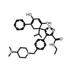 CCNC(=O)c1noc(C2(C(C)C)CC(c3ccccc3)=C(O)C=C2O)c1-c1ccc(CN2CCC(N(C)C)CC2)cc1